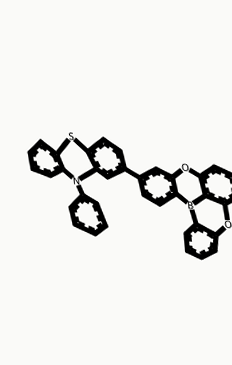 c1ccc(N2c3ccccc3Sc3ccc(-c4ccc5c(c4)Oc4cccc6c4B5c4ccccc4O6)cc32)cc1